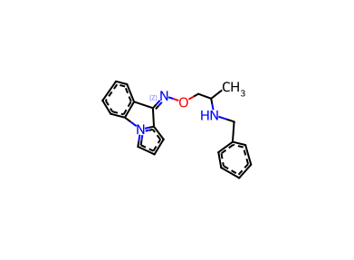 CC(CO/N=C1/c2ccccc2-n2cccc21)NCc1ccccc1